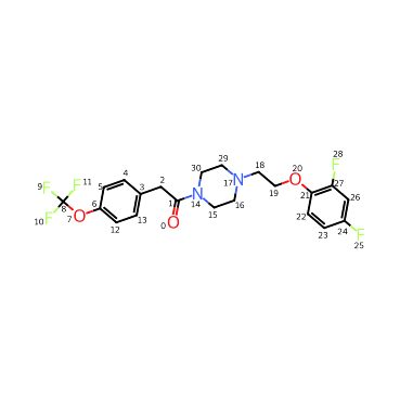 O=C(Cc1ccc(OC(F)(F)F)cc1)N1CCN(CCOc2ccc(F)cc2F)CC1